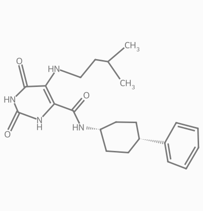 CC(C)CCNc1c(C(=O)N[C@H]2CC[C@@H](c3ccccc3)CC2)[nH]c(=O)[nH]c1=O